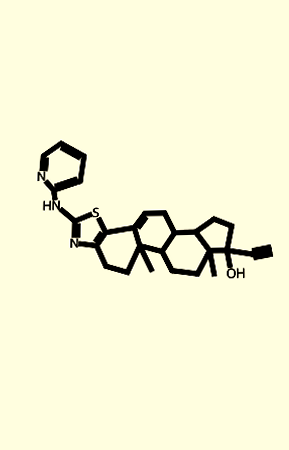 C#CC1(O)CCC2C3CC=C4c5sc(Nc6ccccn6)nc5CCC4(C)C3CCC21C